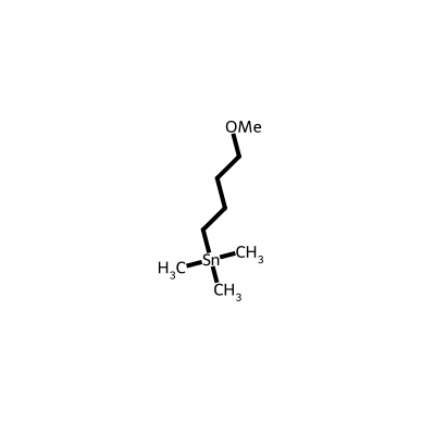 COCCC[CH2][Sn]([CH3])([CH3])[CH3]